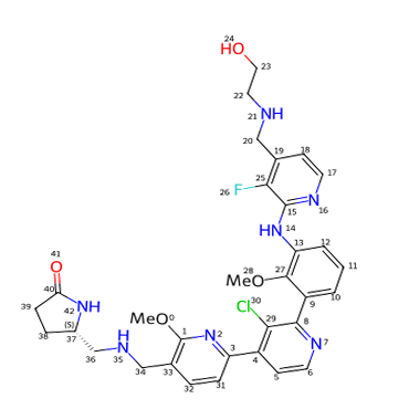 COc1nc(-c2ccnc(-c3cccc(Nc4nccc(CNCCO)c4F)c3OC)c2Cl)ccc1CNC[C@@H]1CCC(=O)N1